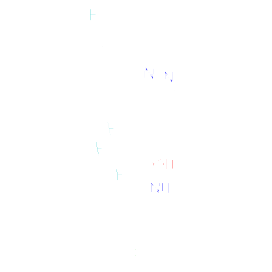 Cc1cc(Cl)cc(C)c1NCC(O)(c1ccc2c(cnn2-c2ccc(F)cc2)c1)C(F)(F)F